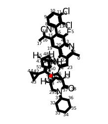 Cc1nc2c(F)c(-c3cccc(Cl)c3Cl)c(C(C)C#N)cc2c2c1cc([C@H]1[C@H]3C[C@H](CN(C4CCCCC4)C3=O)N1C(=O)C1CC1)n2[C@H]1[C@H]2CN[C@@H]1C2